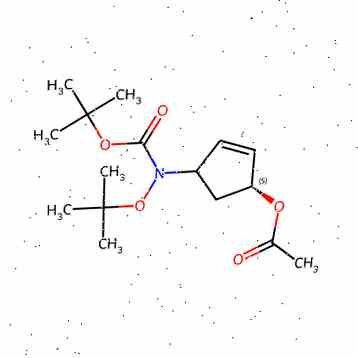 CC(=O)O[C@@H]1C=CC(N(OC(C)(C)C)C(=O)OC(C)(C)C)C1